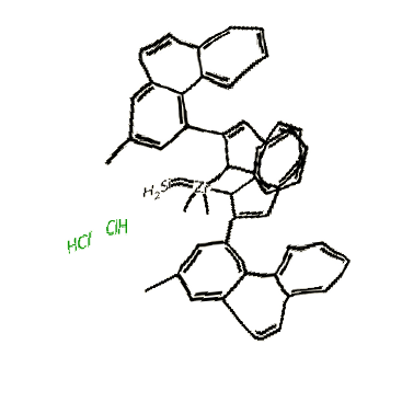 Cc1cc(C2=Cc3ccccc3[CH]2[Zr]([CH3])([CH3])(=[SiH2])[CH]2C(c3cc(C)cc4ccc5ccccc5c34)=Cc3ccccc32)c2c(ccc3ccccc32)c1.Cl.Cl